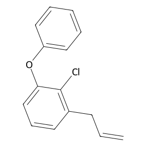 C=CCc1cccc(Oc2ccccc2)c1Cl